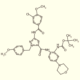 COc1ccc(Cn2nc(NC(=O)c3ccc(OC)c(Cl)c3)cc2C(=O)Nc2ccc(N3CCOCC3)cc2NC(=O)OC(C)(C)C)cc1